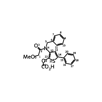 COCC(=O)N(Cc1ccccc1)c1cc(-c2ccccc2)sc1OC(=O)O